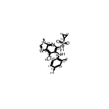 Cn1cnc2c(Cl)c(Nc3ccc(I)cc3F)c(NS(=O)(=O)C3CC3)nc21